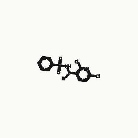 O=S(=O)(NB(Br)c1ccc(Cl)nc1Cl)c1ccccc1